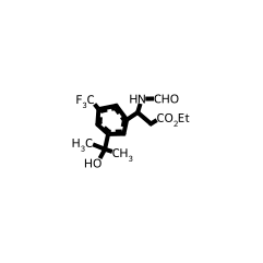 CCOC(=O)CC(NC=O)c1cc(C(C)(C)O)cc(C(F)(F)F)c1